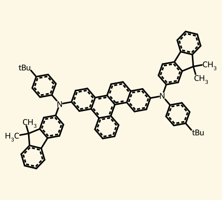 CC(C)(C)c1ccc(N(c2ccc3c(c2)C(C)(C)c2ccccc2-3)c2ccc3c(ccc4c5ccc(N(c6ccc(C(C)(C)C)cc6)c6ccc7c(c6)C(C)(C)c6ccccc6-7)cc5c5ccccc5c34)c2)cc1